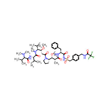 CO[C@H]([C@@H](C)C(=O)N[C@@H](Cc1ccccc1)C(=O)NS(=O)(=O)Cc1ccc(CNC(=O)C(F)(F)F)cc1)[C@@H]1CCCN1C(=O)C[C@@H](OC)[C@H](C(C)C)N(C)C(=O)[C@@H](NC(=O)C(C(C)C)N(C)C)C(C)C